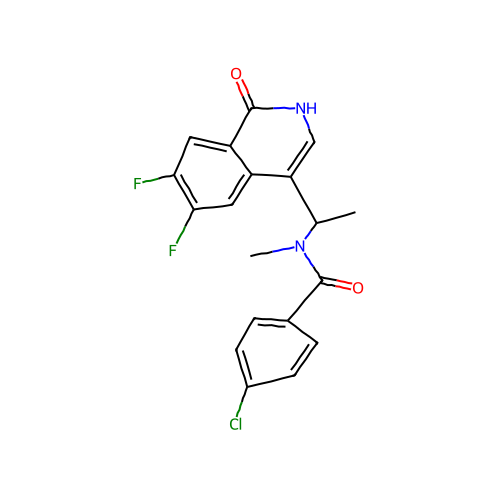 CC(c1c[nH]c(=O)c2cc(F)c(F)cc12)N(C)C(=O)c1ccc(Cl)cc1